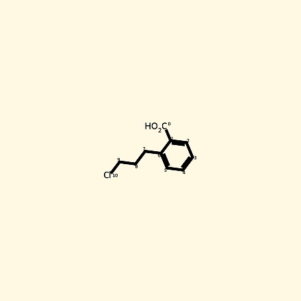 O=C(O)c1ccccc1CCCCl